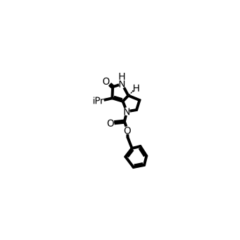 CC(C)C1=C2[C@H](CCN2C(=O)OCc2ccccc2)NC1=O